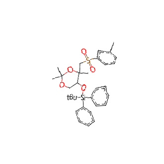 Cc1cccc(S(=O)(=O)CC2(C)OC(C)(C)OCC2O[Si](c2ccccc2)(c2ccccc2)C(C)(C)C)c1